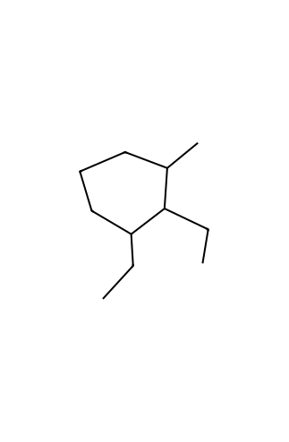 CCC1CCCC(C)C1CC